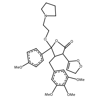 COc1ccc(C2(OCCN3CCCC3)OC(=O)C(C3=CCOO3)C2Cc2cc(OC)c(OC)c(OC)c2)cc1